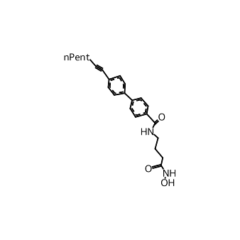 CCCCCC#Cc1ccc(-c2ccc(C(=O)NCCCC(=O)NO)cc2)cc1